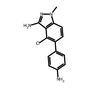 Cn1nc(N)c2c(Cl)c(-c3ccc(N)cc3)ccc21